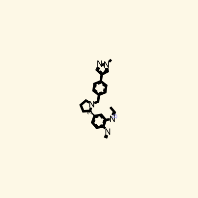 C=Nc1ccc([C@H]2CCCN2Cc2ccc(-c3cnn(C)c3)cc2)cc1/N=C\C